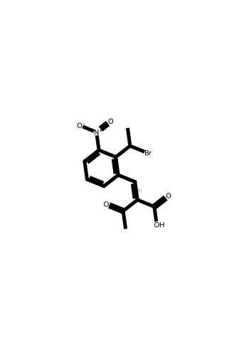 CC(=O)/C(=C\c1cccc([N+](=O)[O-])c1C(C)Br)C(=O)O